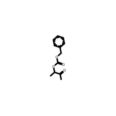 CC(=O)C(C)OC(=O)OCc1ccccc1